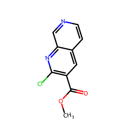 COC(=O)c1cc2ccncc2nc1Cl